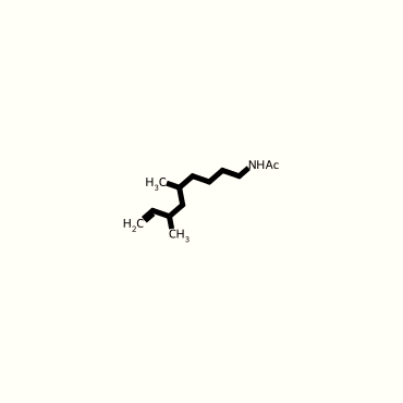 C=CC(C)CC(C)CCCCNC(C)=O